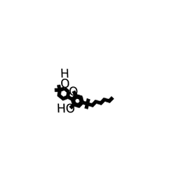 CCCCCCC(C)(C)c1cc(O)c2c(c1)OC1C2CCC(C)(C)C1O